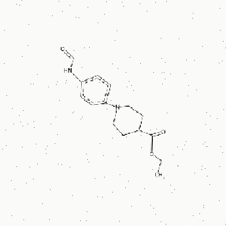 CCOC(=O)C1CCN(c2ccc(NC=O)cc2)CC1